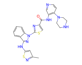 Cc1cc(Nc2nn(-c3nc(C(=O)Nc4cnccc4N4CCNCC4)cs3)c3ccccc23)sn1